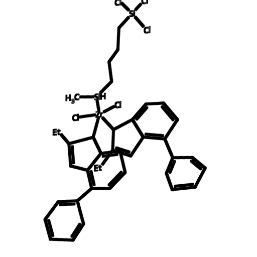 CCC1=Cc2c(-c3ccccc3)cccc2[CH]1[Zr]([Cl])([Cl])([CH]1C(CC)=Cc2c(-c3ccccc3)cccc21)[SiH](C)CCCC[Si](Cl)(Cl)Cl